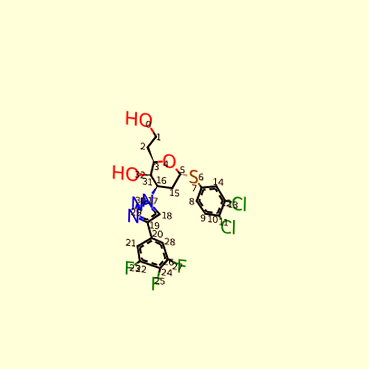 OCC[C@H]1O[C@H](Sc2ccc(Cl)c(Cl)c2)C[C@@H](n2cc(-c3cc(F)c(F)c(F)c3)nn2)[C@H]1O